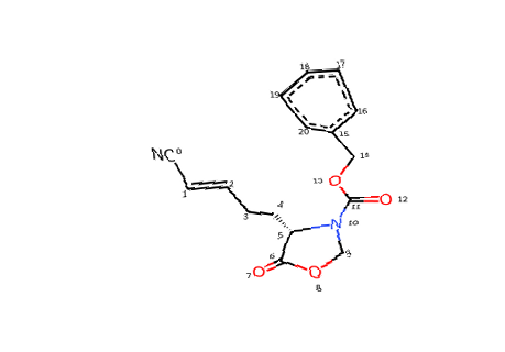 N#C/C=C/CC[C@H]1C(=O)OCN1C(=O)OCc1ccccc1